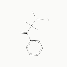 CCCN(C)C(C)(C)C(=O)c1ccccc1